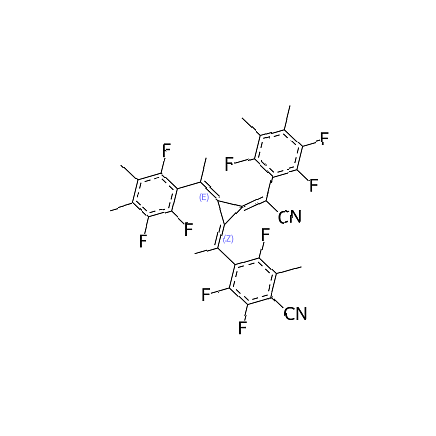 C/C(=C1/C(=C(C#N)c2c(F)c(C)c(C)c(F)c2F)/C1=C(\C)c1c(F)c(C)c(C)c(F)c1F)c1c(F)c(C)c(C#N)c(F)c1F